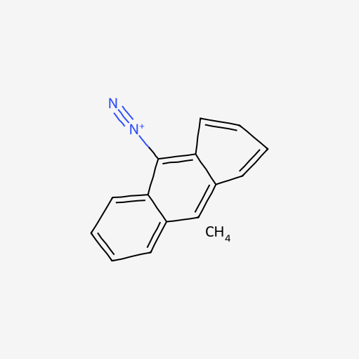 C.N#[N+]c1c2ccccc2cc2ccccc12